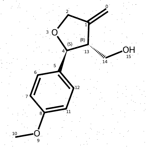 C=C1CO[C@H](c2ccc(OC)cc2)[C@H]1CO